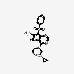 Nc1[nH]c2c(N3CCO[C@H](C4CC4)C3)ncnc2c1S(=O)(=O)c1ccccc1